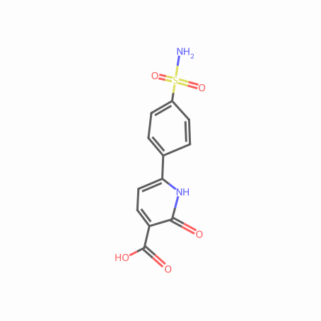 NS(=O)(=O)c1ccc(-c2ccc(C(=O)O)c(=O)[nH]2)cc1